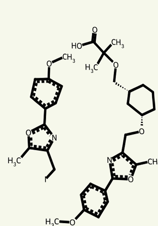 COc1ccc(-c2nc(CI)c(C)o2)cc1.COc1ccc(-c2nc(CO[C@H]3CCC[C@@H](COC(C)(C)C(=O)O)C3)c(C)o2)cc1